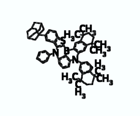 CC1(C)CCC(C)(C)c2cc(N3c4cc5c(cc4B4c6sc7ccc(C89CC%10CC(CC(C%10)C8)C9)cc7c6N(c6ccccc6)c6cccc3c64)C(C)(C)CCC5(C)C)ccc21